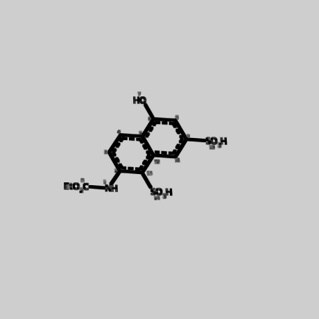 CCOC(=O)Nc1ccc2c(O)cc(S(=O)(=O)O)cc2c1S(=O)(=O)O